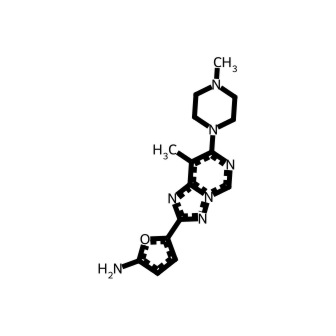 Cc1c(N2CCN(C)CC2)ncn2nc(-c3ccc(N)o3)nc12